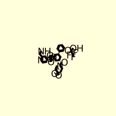 NCc1cc(S(=O)(=O)N2C[C@@H](C(=O)N3CCS(=O)(=O)CC3)C[C@H](c3ccccc3)C2)ccn1.O=C(O)C(F)(F)F